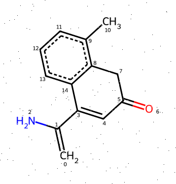 C=C(N)C1=CC(=O)Cc2c(C)cccc21